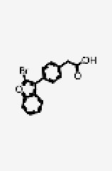 O=C(O)Cc1ccc(-c2c(Br)oc3ccccc23)cc1